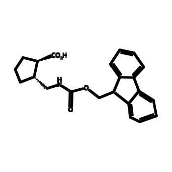 O=C(NC[C@@H]1CCC[C@H]1C(=O)O)OCC1c2ccccc2-c2ccccc21